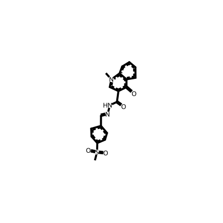 Cn1cc(C(=O)N/N=C/c2ccc(S(C)(=O)=O)cc2)c(=O)c2ccccc21